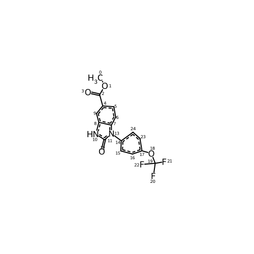 COC(=O)c1ccc2c(c1)[nH]c(=O)n2-c1ccc(OC(F)(F)F)cc1